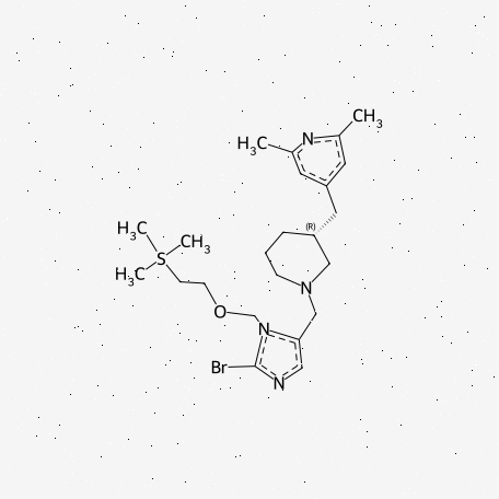 Cc1cc(C[C@H]2CCCN(Cc3cnc(Br)n3COCCS(C)(C)C)C2)cc(C)n1